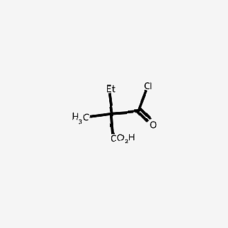 CCC(C)(C(=O)O)C(=O)Cl